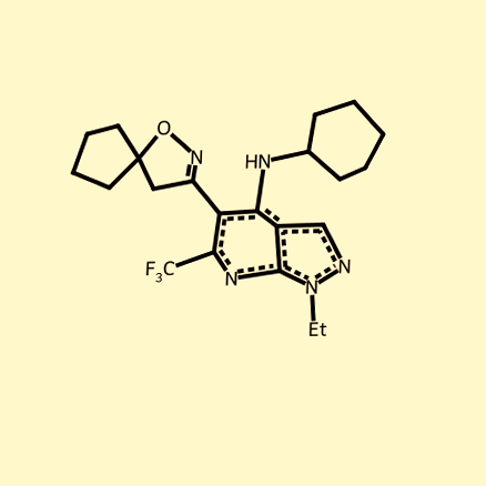 CCn1ncc2c(NC3CCCCC3)c(C3=NOC4(CCCC4)C3)c(C(F)(F)F)nc21